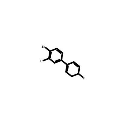 CCc1ccc(C2=CCC(F)C=C2)cc1CC